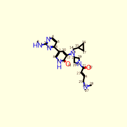 CNc1nccc(-c2c[nH]c(=O)c(N(CC3CC3)C3CN(C(=O)C=CCN(C)C)C3)c2)n1